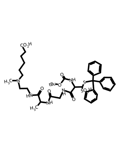 CC(NC(=O)CNC(=O)C(NC(=O)OC(C)(C)C)C(SC(c1ccccc1)(c1ccccc1)c1ccccc1)S(=O)(=O)O)C(=O)NCCN(C)CCCCCC(=O)O